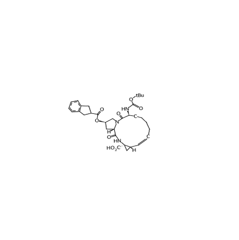 CC(C)(C)OC(=O)N[C@H]1CCCCC/C=C\[C@@H]2C[C@@]2(C(=O)O)NC(=O)[C@@H]2C[C@@H](OC(=O)C3Cc4ccccc4C3)CN2C1=O